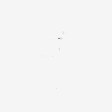 C[C@H]1[C@H](NC(=O)c2cc(Br)c(Cl)s2)C2CCN1CC2